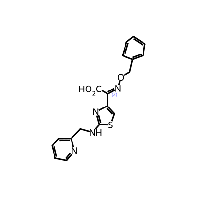 O=C(O)/C(=N\OCc1ccccc1)c1csc(NCc2ccccn2)n1